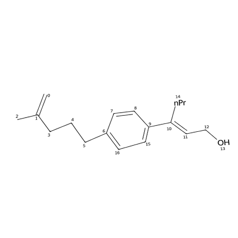 C=C(C)CCCc1ccc(/C(=C/CO)CCC)cc1